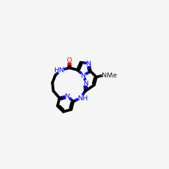 CNc1cc2nn3c(cnc13)C(=O)NCCCc1cccc(n1)N2